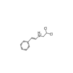 ClC(Cl)C[SiH2]C=Cc1ccccc1